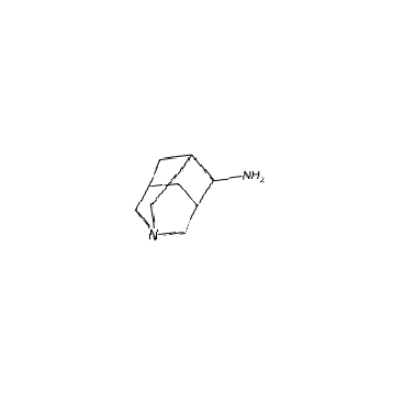 NC1C2CC3CC1CN(C3)C2